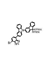 CCCCCCC1(CCCCCC)c2ccccc2-c2cc(-n3c4ccccc4c4cc(-c5ccc(Br)c6nsnc56)ccc43)ccc21